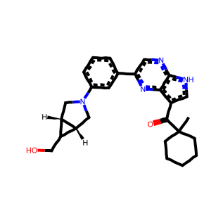 CC1(C(=O)c2c[nH]c3ncc(-c4cccc(N5C[C@@H]6C(CO)[C@@H]6C5)c4)nc23)CCCCC1